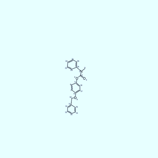 CN(C(=O)Oc1ccc(OCc2ccccc2)cc1)c1ccccc1